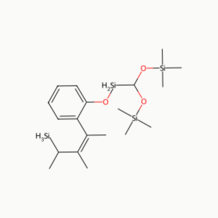 CC(=C(C)C(C)[SiH3])c1ccccc1O[SiH2]C(O[Si](C)(C)C)O[Si](C)(C)C